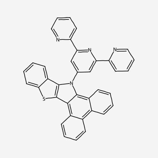 c1ccc(-c2cc(-n3c4c5ccccc5sc4c4c5ccccc5c5ccccc5c43)cc(-c3ccccn3)n2)nc1